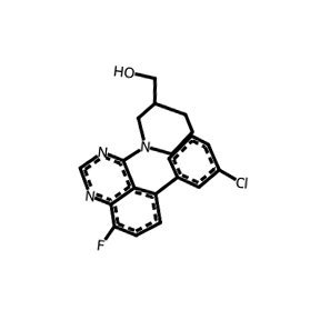 OCC1CCCN(c2ncnc3c(F)ccc(-c4cccc(Cl)c4)c23)C1